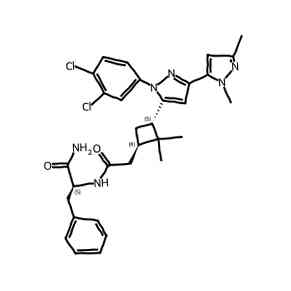 Cc1cc(-c2cc([C@H]3C[C@H](CC(=O)N[C@@H](Cc4ccccc4)C(N)=O)C3(C)C)n(-c3ccc(Cl)c(Cl)c3)n2)n(C)n1